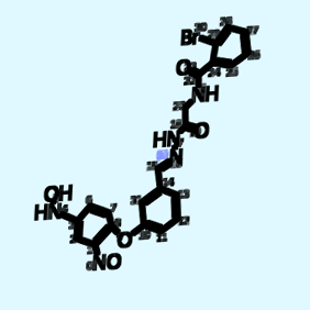 O=Nc1cc(NO)ccc1Oc1cccc(/C=N/NC(=O)CNC(=O)c2ccccc2Br)c1